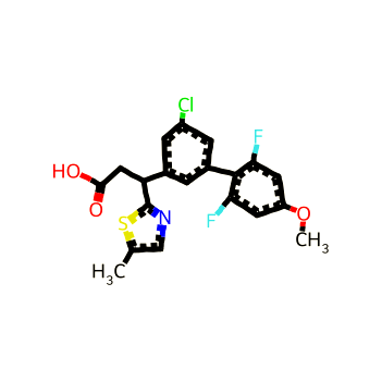 COc1cc(F)c(-c2cc(Cl)cc(C(CC(=O)O)c3ncc(C)s3)c2)c(F)c1